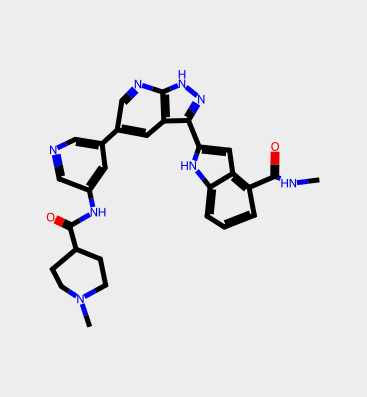 CNC(=O)c1cccc2[nH]c(-c3n[nH]c4ncc(-c5cncc(NC(=O)C6CCN(C)CC6)c5)cc34)cc12